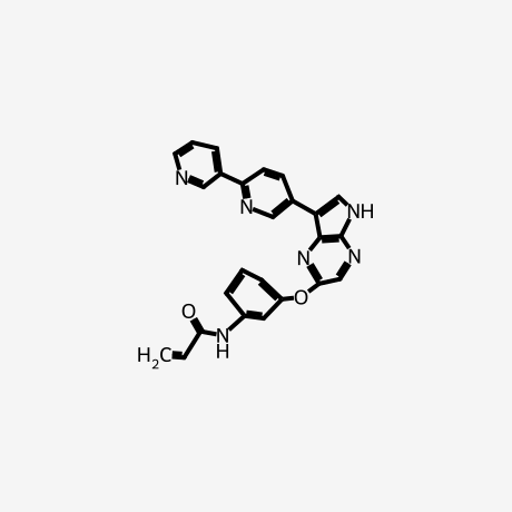 C=CC(=O)Nc1cccc(Oc2cnc3[nH]cc(-c4ccc(-c5cccnc5)nc4)c3n2)c1